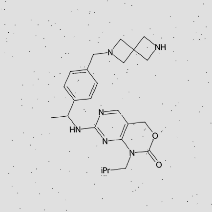 CC(C)CN1C(=O)OCc2cnc(NC(C)c3ccc(CN4CC5(CNC5)C4)cc3)nc21